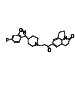 O=C(CCN1CCC(c2noc3cc(F)ccc23)CC1)c1cc2c3c(c1)CCN3C(=O)CC2